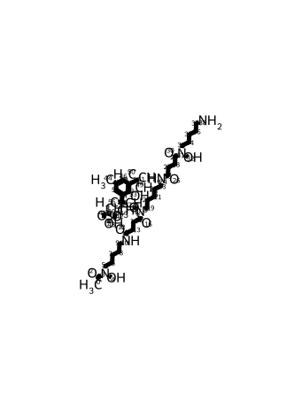 CC(=O)N(O)CCCCCNC(=O)CCC(=O)N(O)CCCCCNC(=O)CCC(=O)N(O)CCCCCN.CS(=O)(=O)O.Cc1cc(C(C)(C)C)c(O)c(C(C)(C)C)c1